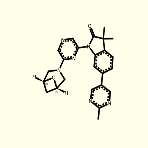 Cc1ncc(-c2ccc3c(c2)N(c2cncc(N4C[C@H]5C[C@@H](C4)O5)n2)C(=O)C3(C)C)cn1